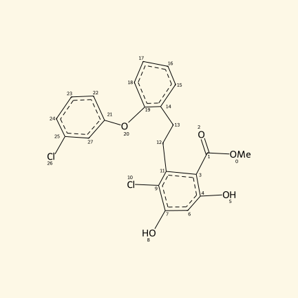 COC(=O)c1c(O)cc(O)c(Cl)c1CCc1ccccc1Oc1cccc(Cl)c1